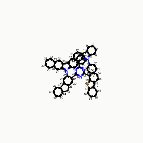 c1ccc(-n2c3ccccc3c3cccc(-c4nc(-c5cc6c(cc5-n5c7cc8ccccc8cc7c7cc8ccccc8cc75)-c5ccccc5C6)nc(-c5cccc6c5sc5ccccc56)n4)c32)cc1